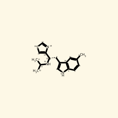 Cc1ccc2[nH]cc(C[C@H](NC(C)C)c3cscn3)c2c1